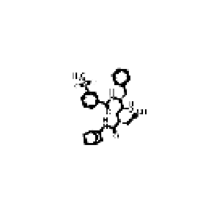 C#CC[C@H](C[C@H](O)[C@H](Cc1ccccc1)NC(=O)c1cccc(S(C)(=O)=O)c1)C(=O)NC1CC2CCC1C2